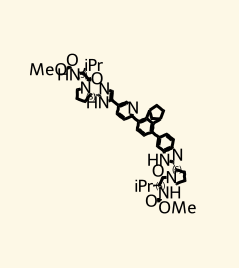 COC(=O)N[C@H](C(=O)N1CCC[C@H]1c1ncc(-c2ccc(-c3ccc(-c4ccc5nc([C@@H]6CCCN6C(=O)[C@@H](NC(=O)OC)C(C)C)[nH]c5c4)c4c3C3CCC4C3)nc2)[nH]1)C(C)C